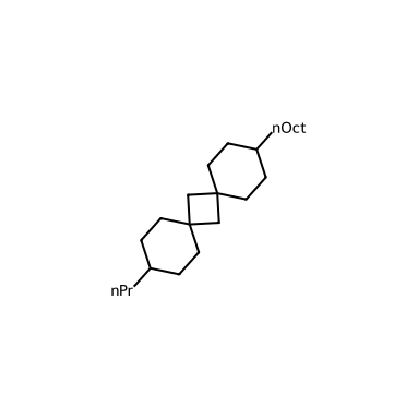 CCCCCCCCC1CCC2(CC1)CC1(CCC(CCC)CC1)C2